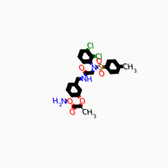 Cc1ccc(S(=O)(=O)N(CC(=O)NCc2cccc(O[C@H](C)C(=O)ON)c2)c2cccc(Cl)c2Cl)cc1